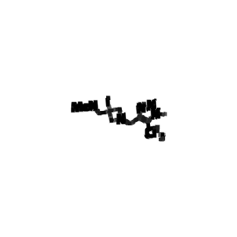 CNCC1(I)CN(Cc2nnn(C)c2C(F)(F)F)C1